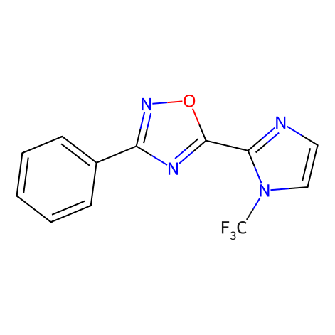 FC(F)(F)n1ccnc1-c1nc(-c2ccccc2)no1